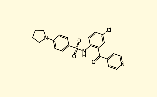 O=C(c1ccncc1)c1cc(Cl)ccc1NS(=O)(=O)c1ccc(N2CCCC2)cc1